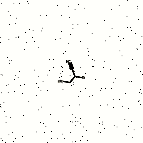 C#CC(CC)CCCC